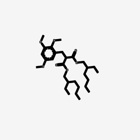 CCCCC(CC)COC(=O)C(Cc1cc(OC)cc(OC)c1OC)C(=O)OCC(CC)CCCC